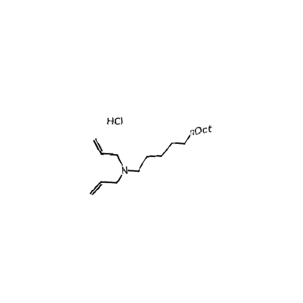 C=CCN(CC=C)CCCCCCCCCCCCC.Cl